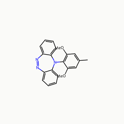 COc1cc(C)cc(OC)c1N1c2ccccc2N=Nc2ccccc21